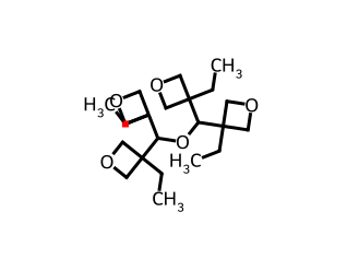 CCC1(C(OC(C2(CC)COC2)C2(CC)COC2)C2(CC)COC2)COC1